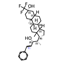 C[C@@H]([C@H]1CC[C@H]2[C@@H]3CC[C@H]4C[C@](O)(C(F)(F)F)CC[C@]4(C)[C@H]3CCC12C)[C@@H](O)/C=C/c1ccccc1